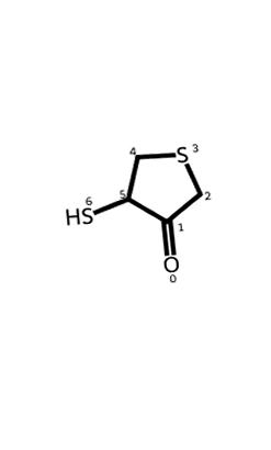 O=C1CSCC1S